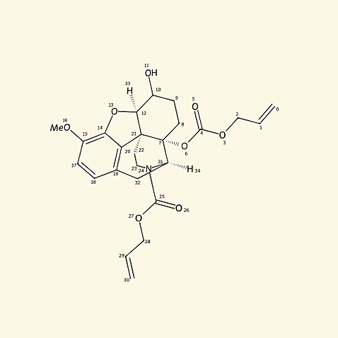 C=CCOC(=O)O[C@@]12CCC(O)[C@@H]3Oc4c(OC)ccc5c4[C@@]31CCN(C(=O)OCC=C)[C@@H]2C5